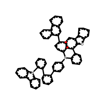 c1ccc(-c2ccccc2-n2c3ccccc3c3ccccc32)c(-c2ccc(N(c3ccc(-c4cc5ccccc5c5ccccc45)cc3)c3ccccc3-c3cccc4c3oc3ccccc34)cc2)c1